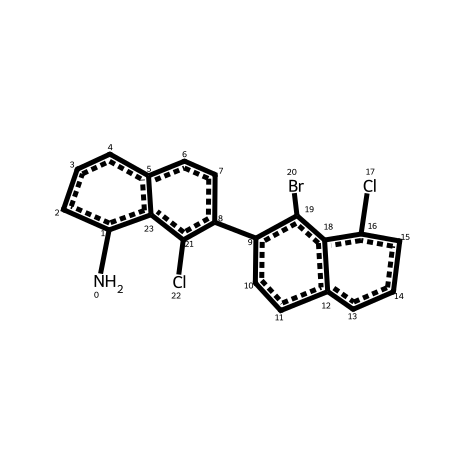 Nc1cccc2ccc(-c3ccc4cccc(Cl)c4c3Br)c(Cl)c12